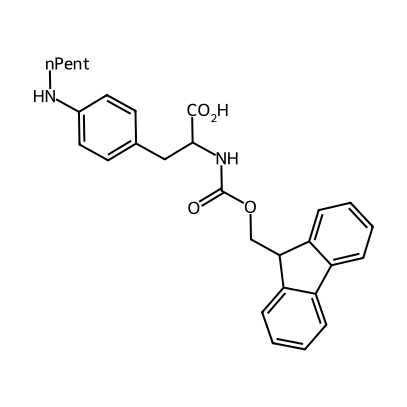 CCCCCNc1ccc(CC(NC(=O)OCC2c3ccccc3-c3ccccc32)C(=O)O)cc1